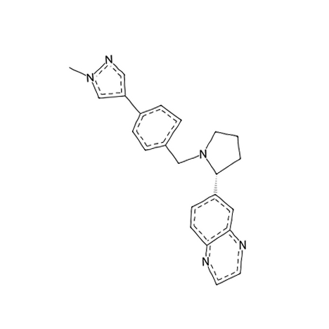 Cn1cc(-c2ccc(CN3CCC[C@@H]3c3ccc4nccnc4c3)cc2)cn1